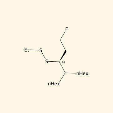 CCCCCCC(CCCCCC)[C@H](CCF)SSCC